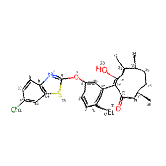 CCc1ccc(Oc2nc3ccc(Cl)cc3s2)cc1/C1=C(\O)C(C)[C@@H](C)CC[C@@H](C)CC1=O